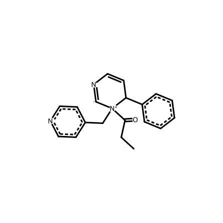 CCC(=O)[N+]1(Cc2ccncc2)[C]=NC=CC1c1ccccc1